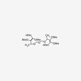 CCCCCCCCCCC(OC)=C(OC)C(C)OCOCOC(C)C(OC)=C(CCCCCCCCCC)OC